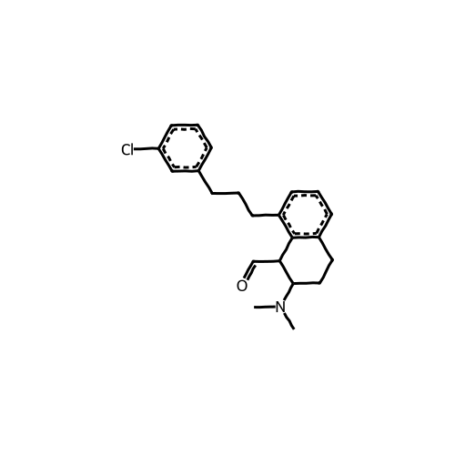 CN(C)C1CCc2cccc(CCCc3cccc(Cl)c3)c2C1C=O